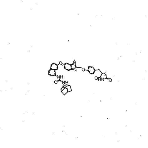 Cn1c(COc2ccc(CC3SC(=O)NC3=O)cc2)nc2ccc(Oc3ccc4cccc(NC(=O)NC56CC7CC(CC(C7)C5)C6)c4c3)cc21